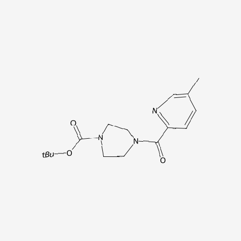 Cc1ccc(C(=O)N2CCN(C(=O)OC(C)(C)C)CC2)nc1